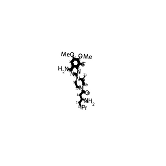 COc1cc2c(N)nc(N3CCN(C(=O)C[C@@H](N)CC(C)C)C[C@@H]3C)nc2c(F)c1OC